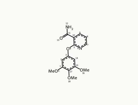 COc1cc(Oc2ncccc2C(N)=O)cc(OC)c1OC